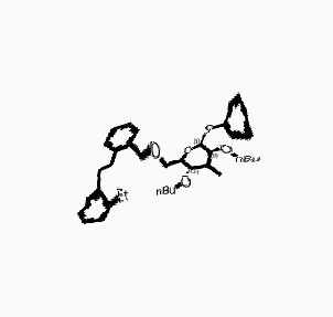 CCCCO[C@@H]1C(COCc2ccccc2CCc2ccccc2CC)O[C@@H](Sc2ccccc2)[C@@H](OCCCC)C1C